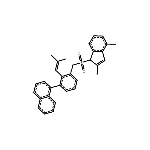 CC(C)=Cc1c(CS(=O)(=O)C2C(C)=Cc3c(C)cccc32)cccc1-c1cccc2ccccc12